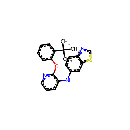 CC(C)(C)c1ccccc1Oc1ncccc1Nc1ccc2ncsc2c1